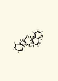 CCOC(=O)c1oc2cnccc2c1Nc1ccc2ncccc2c1